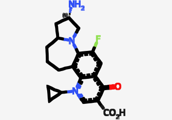 N[C@H]1CC2CCCc3c(c(F)cc4c(=O)c(C(=O)O)cn(C5CC5)c34)N2C1